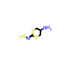 NC1CSC(=NS)SC1